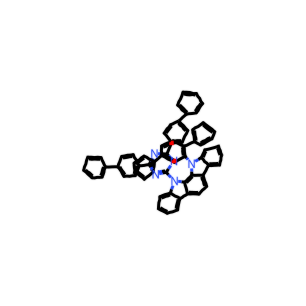 c1ccc(-c2ccc(-c3nc(-c4ccc(-c5ccccc5)cc4)nc(-n4c5ccccc5c5ccc6c7ccccc7n(-c7cc(-c8ccccc8)ccc7-c7ccccc7)c6c54)n3)cc2)cc1